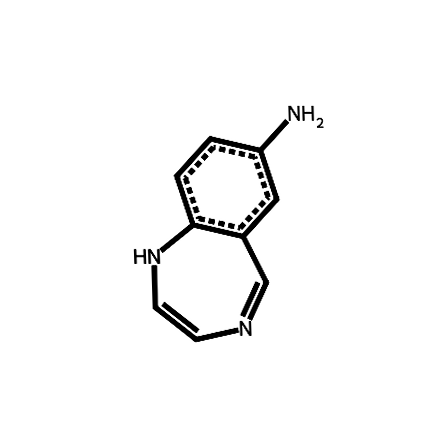 Nc1ccc2c(c1)C=NC=CN2